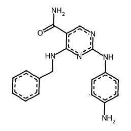 NC(=O)c1cnc(Nc2c[c]c(N)cc2)nc1NCc1ccccc1